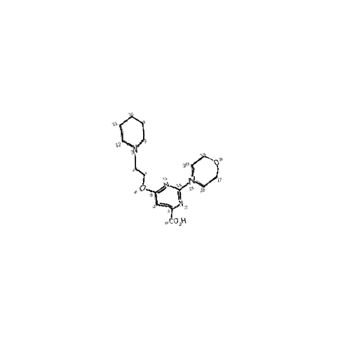 O=C(O)c1cc(OCCN2CCCCC2)nc(N2CCOCC2)n1